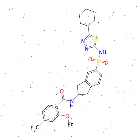 CCOc1cc(C(F)(F)F)ccc1C(=O)NC1Cc2ccc(S(=O)(=O)Nc3nnc(C4CCCCC4)s3)cc2C1